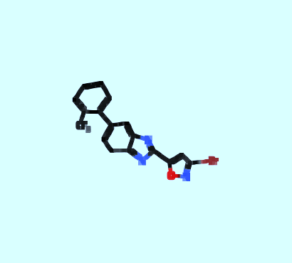 FC(F)(F)c1ccccc1C1=CCC2=NC(c3cc(Br)no3)=NC2=C1